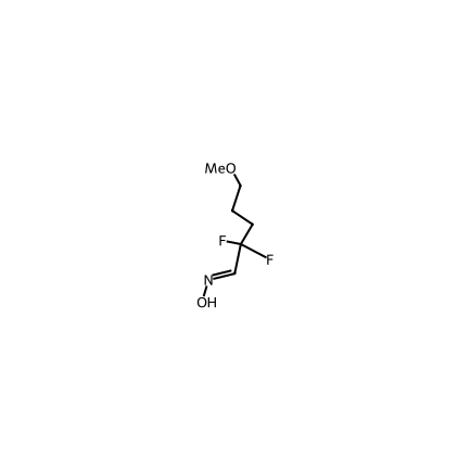 COCCCC(F)(F)C=NO